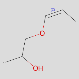 [CH2]C(O)CO/C=C\C